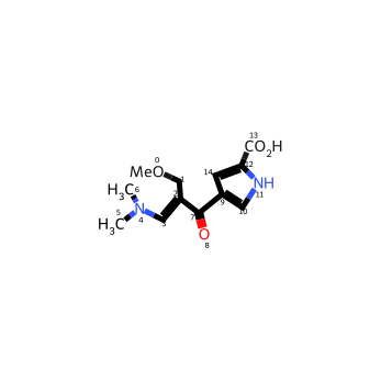 COC/C(=C\N(C)C)C(=O)c1c[nH]c(C(=O)O)c1